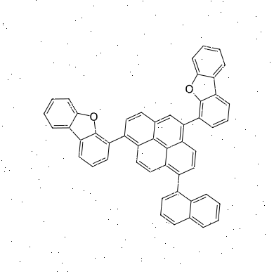 c1ccc2c(-c3ccc4c(-c5cccc6c5oc5ccccc56)cc5ccc(-c6cccc7c6oc6ccccc67)c6ccc3c4c56)cccc2c1